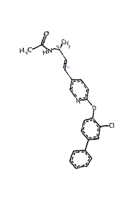 CC(=O)N[C@@H](C)/C=C/c1ccc(Oc2ccc(-c3ccccc3)cc2Cl)nc1